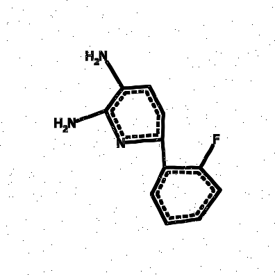 Nc1ccc(-c2ccccc2F)nc1N